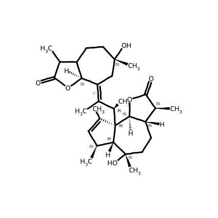 CC1=C[C@H](C)[C@@H]2[C@@]1([C@H](C)/C(C)=C1\C[C@@](C)(O)CCC3C(C)C(=O)O[C@H]13)[C@H]1OC(=O)[C@@H](C)[C@@H]1CC[C@]2(C)O